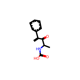 C=C(C(=O)C(C)NC(=O)O)c1ccccc1